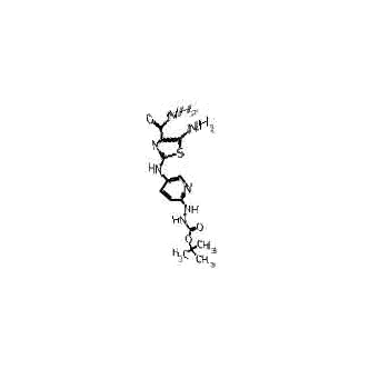 CC(C)(C)OC(=O)NNc1ccc(Nc2nc(C(N)=O)c(N)s2)cn1